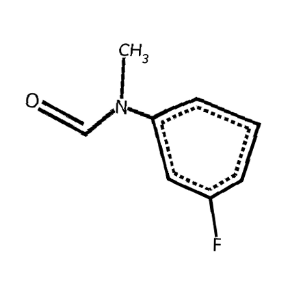 CN(C=O)c1cccc(F)c1